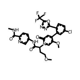 CNC(=O)c1ccc(NC(=O)C(CCOC)n2cc(OC)c(-c3cc(Cl)ccc3-c3nnc(C(F)(F)F)o3)cc2=O)cn1